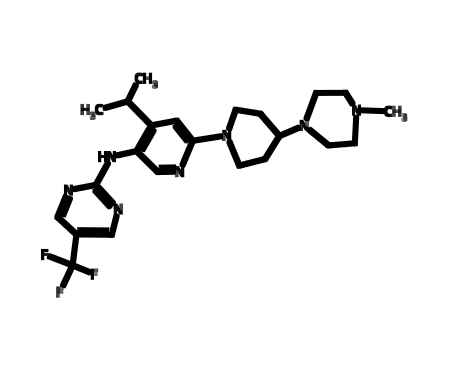 CC(C)c1cc(N2CCC(N3CCN(C)CC3)CC2)ncc1Nc1ncc(C(F)(F)F)cn1